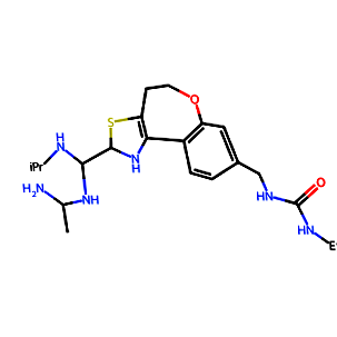 CCNC(=O)NCc1ccc2c(c1)OCCC1=C2NC(C(NC(C)C)NC(C)N)S1